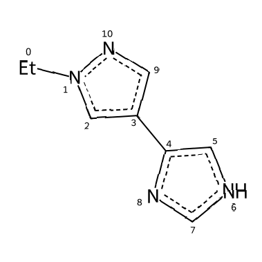 CCn1cc(-c2c[nH]cn2)cn1